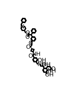 O=C(N[C@H]1C[C@H](C(=O)COc2cccc(C(C(=O)OCC3CCN(Cc4ccccc4)CC3)c3ccccc3)c2)C1)c1ccc(CNC[C@H](O)c2ccc(O)c3[nH]c(=O)ccc23)c(O)c1